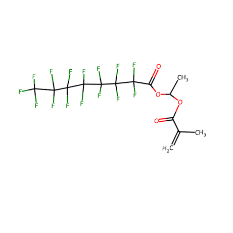 C=C(C)C(=O)OC(C)OC(=O)C(F)(F)C(F)(F)C(F)(F)C(F)(F)C(F)(F)C(F)(F)C(F)(F)F